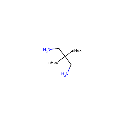 CCCCCCC(CN)(CN)CCCCCC